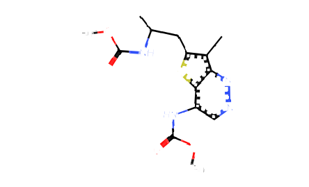 Cc1c(CC(C)NC(=O)OC(C)(C)C)sc2c(NC(=O)OC(C)(C)C)cnnc12